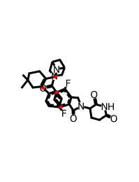 CC1(C)CCC(CN2C3CC2CN(C(=O)c2ccc4c(c2F)CN(C2CCC(=O)NC2=O)C4=O)C3)=C(c2ccc(F)cc2)C1